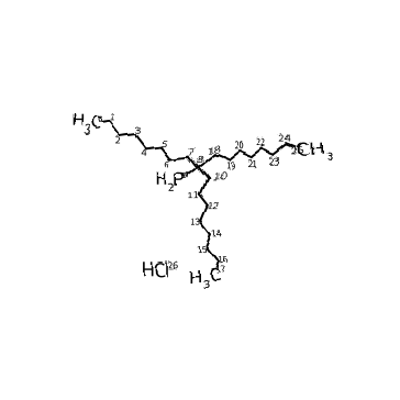 CCCCCCCCC(P)(CCCCCCCC)CCCCCCCC.Cl